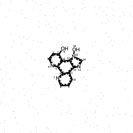 Oc1ccnc2c3ncccc3c3ncn(O)c3c12